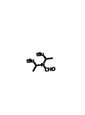 CC(N(C=O)C(C)C(C)(C)C)C(C)(C)C